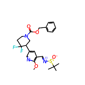 COc1ncc(C2CN(C(=O)OCc3ccccc3)CCC2(F)F)cc1/C=N/[S+]([O-])C(C)(C)C